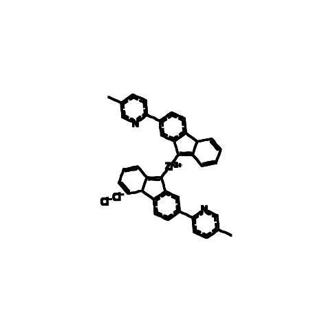 Cc1ccc(-c2ccc3c(c2)[C]([Zr+2][C]2=C4C=CC=CC4c4ccc(-c5ccc(C)cn5)cc42)=C2C=CC=CC23)nc1.[Cl-].[Cl-]